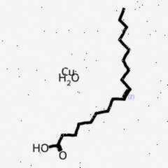 CCCCCCCC/C=C\CCCCCCCC(=O)O.O.[Cu]